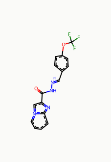 O=C(N/N=C/c1ccc(OC(F)(F)F)cc1)c1cn2ccccc2n1